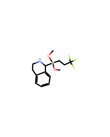 CO[Si](CCC(F)(F)F)(OC)C1NCCc2ccccc21